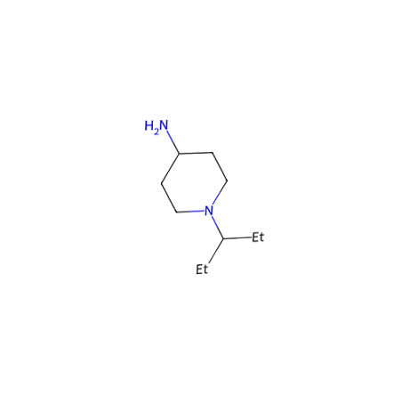 CCC(CC)N1CCC(N)CC1